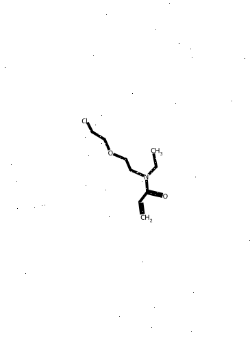 C=CC(=O)N(CC)CCOCCCl